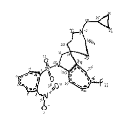 O=[N+]([O-])c1ccccc1S(=O)(=O)N1CC2(CCN(CC3CC3)CC2)c2cc(F)ccc21